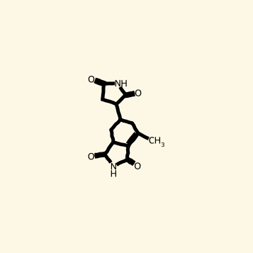 CC1=C2C(=O)NC(=O)C2CC(C2CC(=O)NC2=O)C1